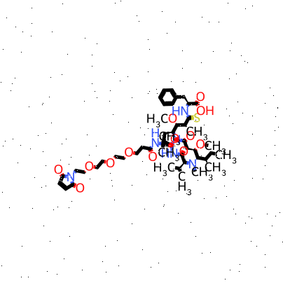 CC[C@H](C)[C@@H]([C@@H](CC(=O)N1CCC[C@H]1[C@H](OC)[C@@H](C)C(=S)N[C@@H](Cc1ccccc1)C(=O)O)OC)N(C)[C@H](C(=O)NC(=O)C(C)(C)NC(=O)CCOCCOCCOCCN1C(=O)C=CC1=O)C(C)C